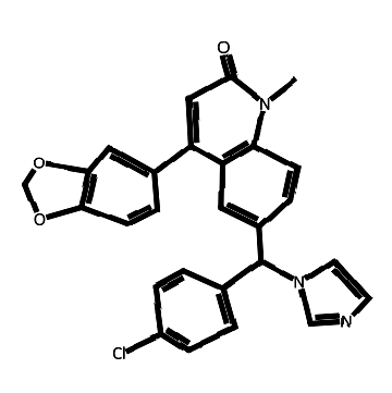 Cn1c(=O)cc(-c2ccc3c(c2)OCO3)c2cc(C(c3ccc(Cl)cc3)n3ccnc3)ccc21